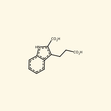 O=C(O)CCc1c(C(=O)O)[nH]c2ccccc12